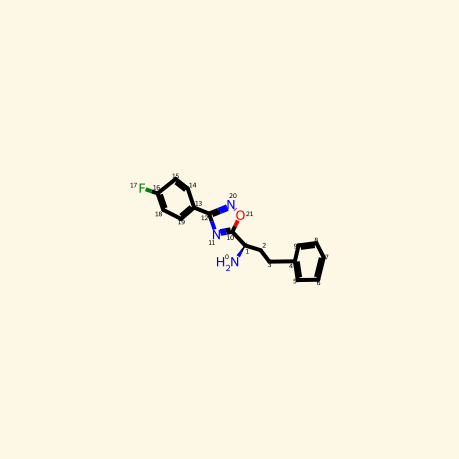 N[C@H](CCc1ccccc1)c1nc(-c2ccc(F)cc2)no1